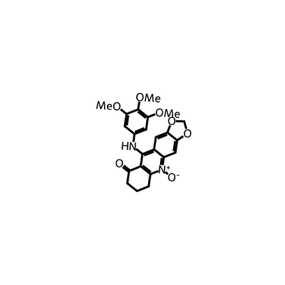 COc1cc(Nc2c3c([n+]([O-])c4cc5c(cc24)OCO5)CCCC3=O)cc(OC)c1OC